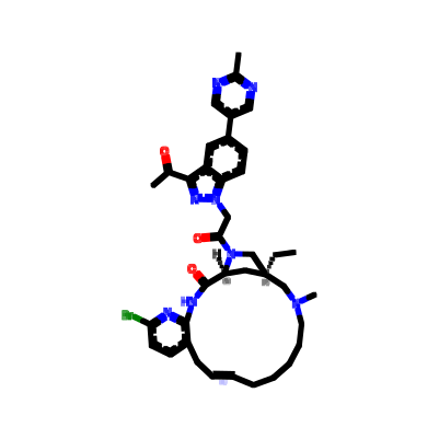 CC[C@@]12C[C@@H](C(=O)Nc3nc(Br)ccc3C/C=C/CCCCCN(C)C1)N(C(=O)Cn1nc(C(C)=O)c3cc(-c4cnc(C)nc4)ccc31)C2